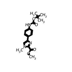 COC(=O)c1nc(-c2ccc(NC(=O)OC(C)(C)C)cc2)cn1C